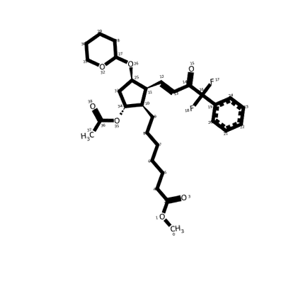 COC(=O)CCCCCC[C@@H]1[C@H](C=CC(=O)C(F)(F)c2ccccc2)[C@H](OC2CCCCO2)C[C@H]1OC(C)=O